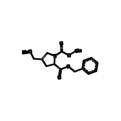 COCC1CC(C(=O)OCc2ccccc2)N(C(=O)OC(C)(C)C)C1